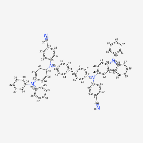 N#Cc1ccc(N(c2ccc(-c3ccc(N(c4ccc(C#N)cc4)C4C=c5c(n(-c6ccccc6)c6ccccc56)=CC4)cc3)cc2)c2ccc3c(c2)c2ccccc2n3-c2ccccc2)cc1